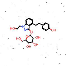 OCCn1nc(O[C@@H]2O[C@H](CO)[C@@H](O)[C@H](O)[C@H]2O)c2c(CCc3ccc(O)cc3)cccc21